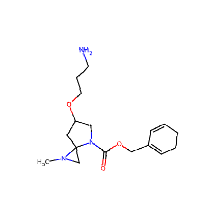 CN1CC12CC(OCCCN)CN2C(=O)OCC1=CCCC=C1